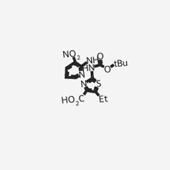 CCc1sc(NC(=O)OC(C)(C)C)nc1C(=O)O.Nc1ncccc1[N+](=O)[O-]